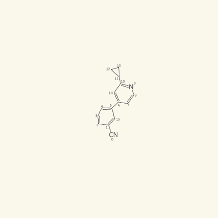 N#Cc1cccc(-c2ccnc(C3CC3)c2)c1